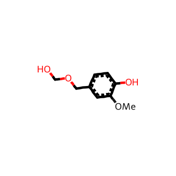 COc1cc(COCO)ccc1O